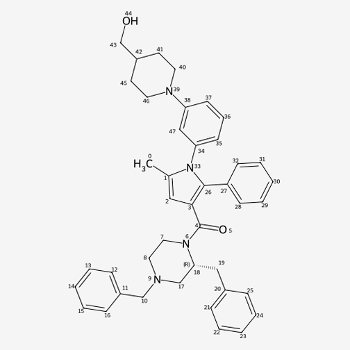 Cc1cc(C(=O)N2CCN(Cc3ccccc3)C[C@H]2Cc2ccccc2)c(-c2ccccc2)n1-c1cccc(N2CCC(CO)CC2)c1